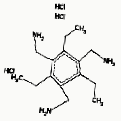 CCc1c(CN)c(CC)c(CN)c(CC)c1CN.Cl.Cl.Cl